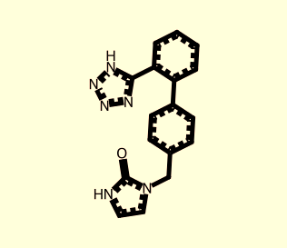 O=c1[nH]ccn1Cc1ccc(-c2ccccc2-c2nnn[nH]2)cc1